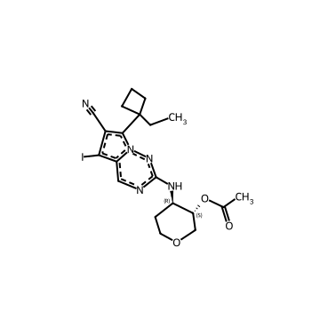 CCC1(c2c(C#N)c(I)c3cnc(N[C@@H]4CCOC[C@H]4OC(C)=O)nn23)CCC1